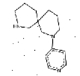 c1cc(N2CCCC3(CCCNC3)C2)ccn1